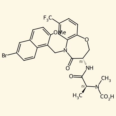 COc1ccc2cc(Br)ccc2c1CN1C(=O)[C@@H](NC(=O)[C@H](C)N(C)C(=O)O)COc2ccc(C(F)(F)F)cc21